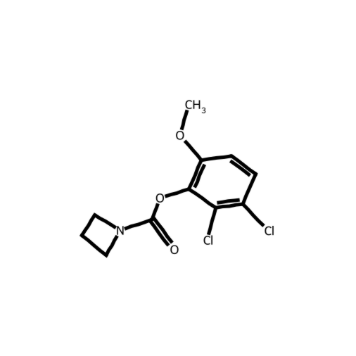 COc1ccc(Cl)c(Cl)c1OC(=O)N1CCC1